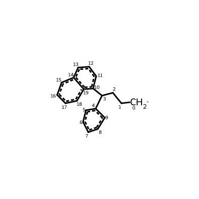 [CH2]CCC(c1ccccc1)c1cccc2ccccc12